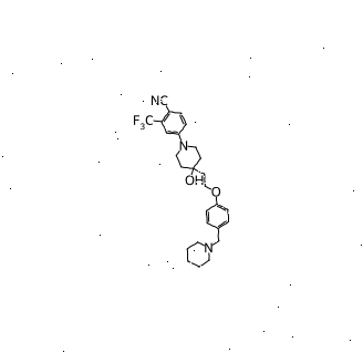 N#Cc1ccc(N2CCC(O)(CCOc3ccc(CN4CCCCC4)cc3)CC2)cc1C(F)(F)F